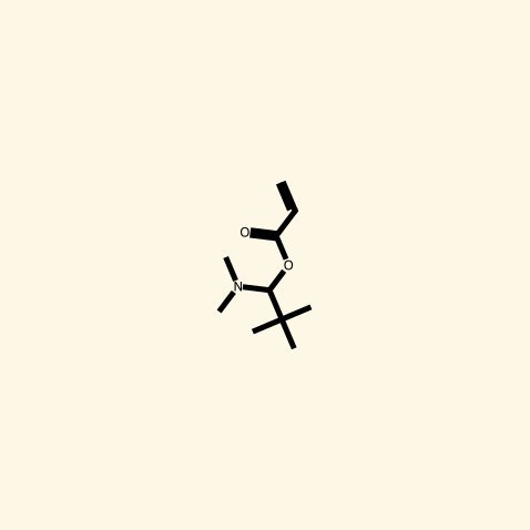 C=CC(=O)OC(N(C)C)C(C)(C)C